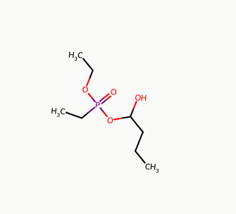 CCCC(O)OP(=O)(CC)OCC